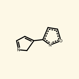 C1=NCC(c2ccon2)=C1